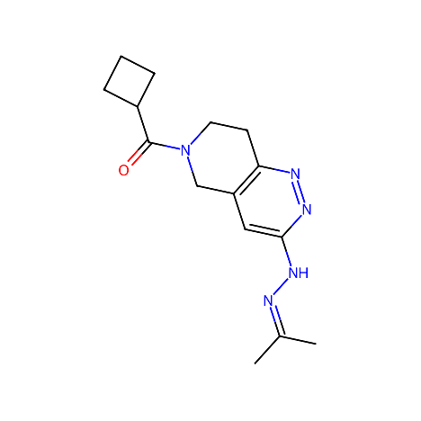 CC(C)=NNc1cc2c(nn1)CCN(C(=O)C1CCC1)C2